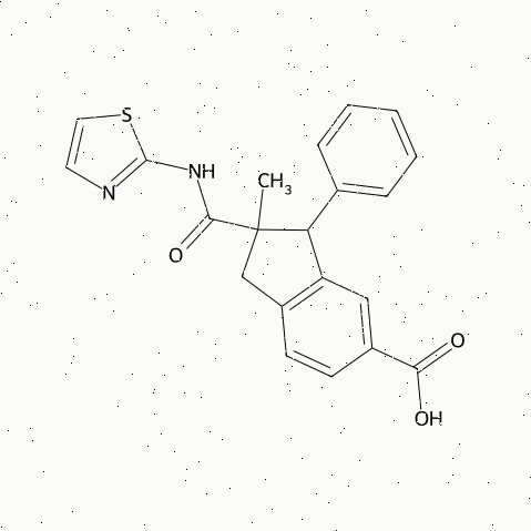 CC1(C(=O)Nc2nccs2)Cc2ccc(C(=O)O)cc2C1c1ccccc1